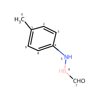 Cc1ccc(NBC=O)cc1